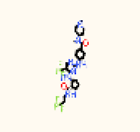 CN1CCC(N(C)C(=O)c2ccc(Nc3ncc(C(F)(F)F)c(N[C@@H]4CCC[C@@H]4C(=O)NCCC(F)(F)F)n3)cc2)CC1